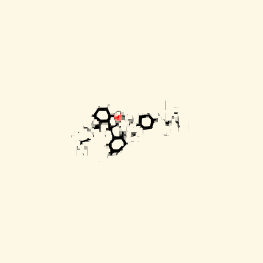 CCN(CC)C(=O)Nc1ccc(S(=O)(=O)N2C(=O)C(NC(=O)N(C)CC(N)=O)(c3ccccc3Cl)c3cc(Cl)ccc32)cc1